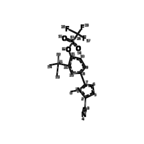 Cn1c(C#N)ccc1-c1ccc(OS(=O)(=O)C(F)(F)F)c(C(C)(C)C)c1